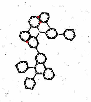 c1ccc(-c2ccc(N(c3cccc(-c4ccc5c(c4)c(-c4ccccc4)c(-c4ccccc4)c4ccccc45)c3)c3ccccc3-c3ccccc3)c(-c3ccccc3)c2)cc1